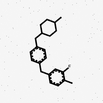 Cc1ccc(Cc2ccc(CC3CCC(C)CC3)cc2)cc1F